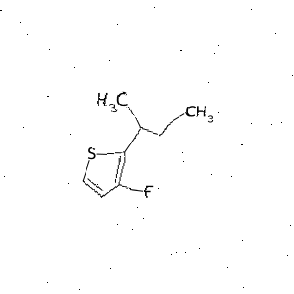 CCC(C)c1sccc1F